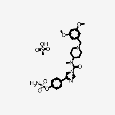 COc1cc(CN2CCC(N(C)C(=O)n3cnc(-c4ccc(OS(N)(=O)=O)cc4)c3)CC2)cc(OC)c1.CS(=O)(=O)O